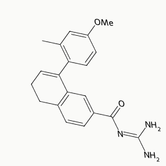 COc1ccc(C2=CCCc3ccc(C(=O)N=C(N)N)cc32)c(C)c1